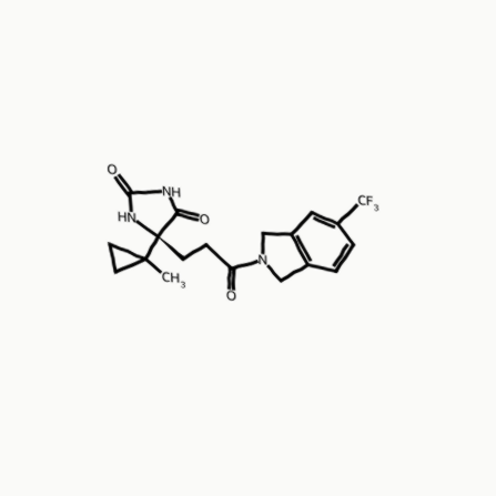 CC1([C@]2(CCC(=O)N3Cc4ccc(C(F)(F)F)cc4C3)NC(=O)NC2=O)CC1